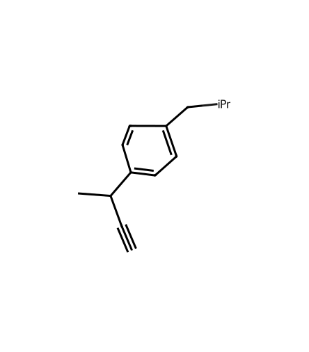 C#CC(C)c1ccc(CC(C)C)cc1